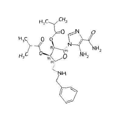 CC(C)C(=O)O[C@@H]1[C@H](OC(=O)C(C)C)[C@@H](CNCc2ccccc2)O[C@H]1n1cnc(C(N)=O)c1N